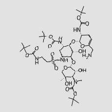 CN(C(=O)OC(C)(C)C)[C@@H]1[C@@H](O)[C@@H](O[C@@H]2[C@@H](O)[C@H](O[C@H]3OC(CN)=CC[C@H]3NC(=O)OC(C)(C)C)[C@@H](NC(=O)OC(C)(C)C)C[C@H]2NS(=O)(=O)CCNC(=O)OC(C)(C)C)OC[C@]1(C)O